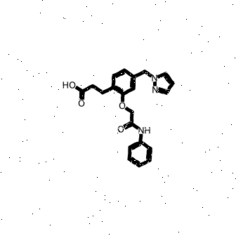 O=C(O)CCc1ccc(Cn2cccn2)cc1OCC(=O)Nc1ccccc1